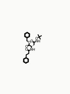 CC(C)(C)ONC(=O)C[C@H](NC(=O)CCc1ccccc1)C(=O)OCc1ccccc1